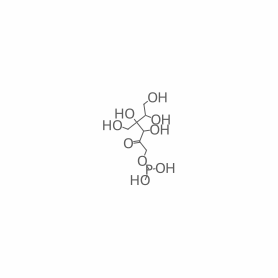 O=C(COP(O)O)C(O)C(O)(CO)C(O)CO